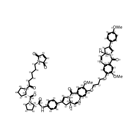 COc1ccc(C2=CN3C(=O)c4cc(OC)c(OCCCOc5cc6c(cc5OC)C(=O)N5C=C(c7ccc(NC(=O)[C@@H]8CCCN8C(=O)[C@@H]8CCCN8C(=O)CCCCCN8C(=O)C=CC8=O)cc7)C[C@H]5C=N6)cc4N=C[C@@H]3C2)cc1